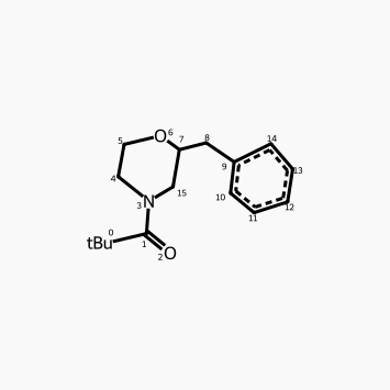 CC(C)(C)C(=O)N1CCOC(Cc2ccccc2)C1